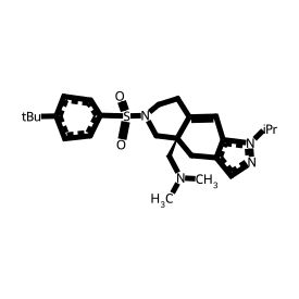 CC(C)n1ncc2c1C=C1CCN(S(=O)(=O)c3ccc(C(C)(C)C)cc3)C[C@@]1(CN(C)C)C2